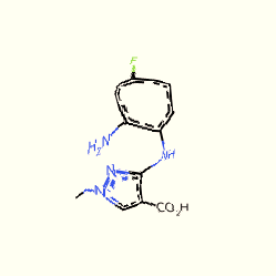 Cn1cc(C(=O)O)c(Nc2ccc(F)cc2N)n1